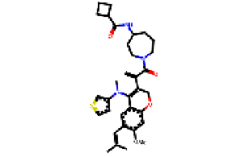 C=C(C(=O)N1CCCC(NC(=O)C2CCC2)CC1)C1=C(N(C)c2ccsc2)c2cc(C=C(C)C)c(OC)cc2OC1